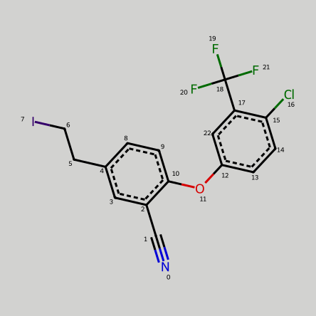 N#Cc1cc(CCI)ccc1Oc1ccc(Cl)c(C(F)(F)F)c1